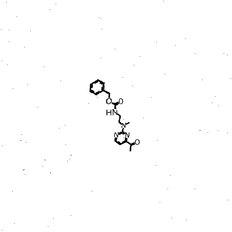 CC(=O)c1ccnc(N(C)CCNC(=O)OCc2ccccc2)n1